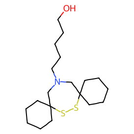 OCCCCCN1CC2(CCCCC2)SSC2(CCCCC2)C1